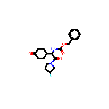 O=C1CCC(C(NC(=O)OCc2ccccc2)C(=O)N2CC[C@H](F)C2)CC1